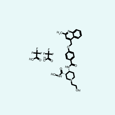 Cc1cc(COc2ccc(C(=O)N[C@@H]3CCN(CCO)C[C@@H]3C(=O)NO)cc2)c2ccccc2n1.O=C(O)C(F)(F)F.O=C(O)C(F)(F)F